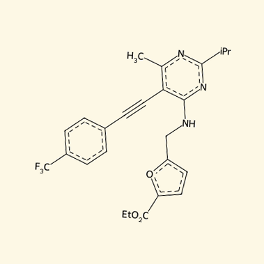 CCOC(=O)c1ccc(CNc2nc(C(C)C)nc(C)c2C#Cc2ccc(C(F)(F)F)cc2)o1